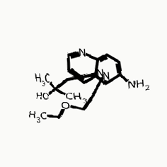 CCOCC1N=C2C(N)=CC=C3N=CC=CC32N1CC(C)(C)O